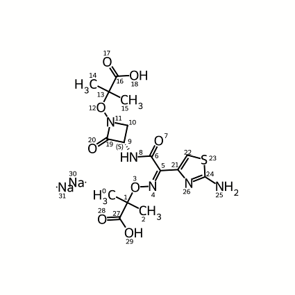 CC(C)(ON=C(C(=O)N[C@H]1CN(OC(C)(C)C(=O)O)C1=O)c1csc(N)n1)C(=O)O.[Na].[Na]